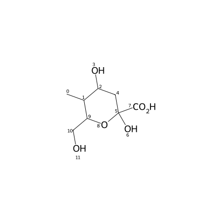 CC1C(O)CC(O)(C(=O)O)OC1CO